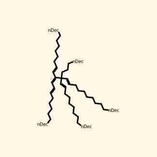 CCCCCCCCCCCCCCCC=C/[C]=C(/C=CCCCCCCCCCCCCCCCC)C(C=CCCCCCCCCCCCCCCCCC)(C=CCCCCCCCCCCCCCCCCCC)CCCCCCCCCCCCC